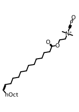 CCCCCCCC/C=C\CCCCCCCCCCCC(=O)OCC[N+](C)(C)C#P=O